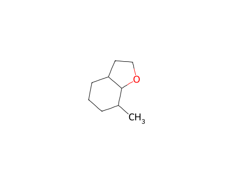 CC1CCCC2CCOC12